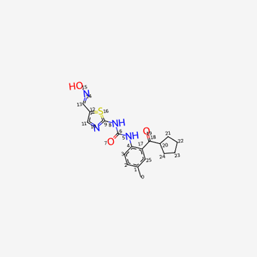 Cc1ccc(NC(=O)Nc2ncc(C=NO)s2)c(C(=O)C2CCCC2)c1